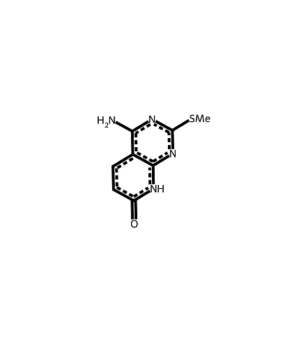 CSc1nc(N)c2ccc(=O)[nH]c2n1